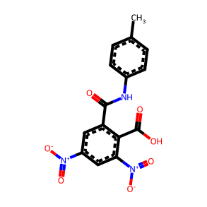 Cc1ccc(NC(=O)c2cc([N+](=O)[O-])cc([N+](=O)[O-])c2C(=O)O)cc1